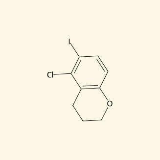 Clc1c(I)ccc2c1CCCO2